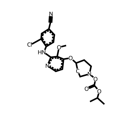 COc1c(OC2CCN(OC(=O)OC(C)C)CC2)ccnc1Nc1ccc(C#N)cc1Cl